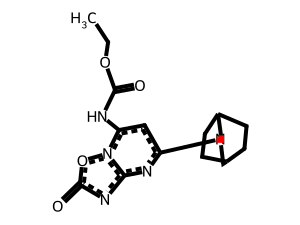 CCOC(=O)Nc1cc(N2CC3CCC(CC3)C2)nc2nc(=O)on12